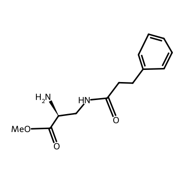 COC(=O)[C@@H](N)CNC(=O)CCc1ccccc1